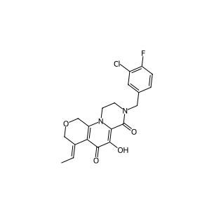 CC=C1COCc2c1c(=O)c(O)c1n2CCN(Cc2ccc(F)c(Cl)c2)C1=O